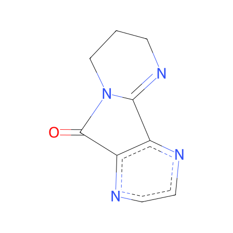 O=C1c2nccnc2C2=NCCCN12